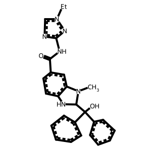 CCn1cnc(NC(=O)c2ccc3c(c2)N(C)C(C(O)(c2ccccc2)c2ccccc2)N3)n1